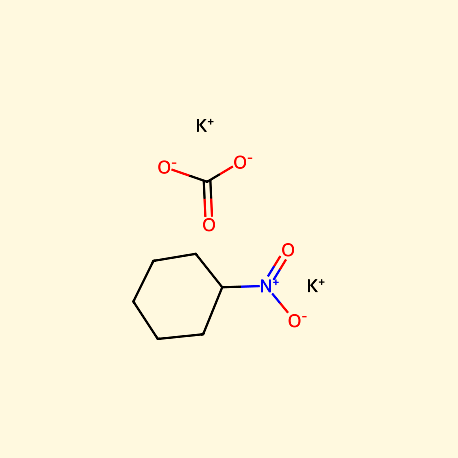 O=C([O-])[O-].O=[N+]([O-])C1CCCCC1.[K+].[K+]